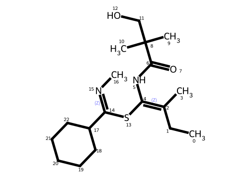 CC/C(C)=C(/NC(=O)C(C)(C)CO)S/C(=N\C)C1CCCCC1